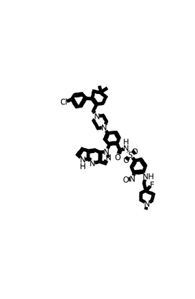 CN1CCC(F)(CNc2ccc(S(=O)(=O)NC(=O)c3ccc(N4CCN(CC5=C(c6ccc(Cl)cc6)CC(C)(C)CC5)CC4)cc3-n3ncc4nc5[nH]ccc5cc43)cc2N=O)CC1